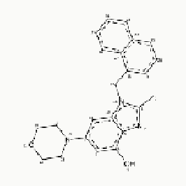 Cc1nc2c(O)cc(N3CCOCC3)cc2n1Cc1cccc2ccccc12